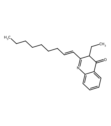 CCCCCCCC=CC1=Nc2ccccc2C(=O)C1CC